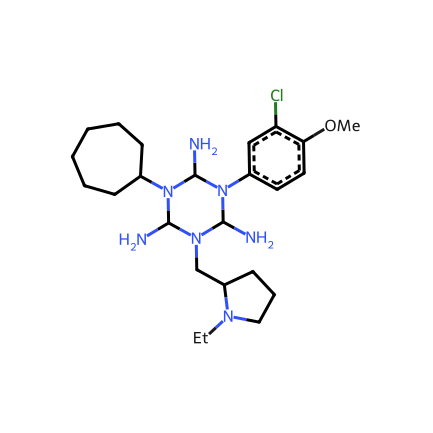 CCN1CCCC1CN1C(N)N(c2ccc(OC)c(Cl)c2)C(N)N(C2CCCCCC2)C1N